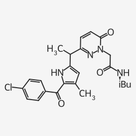 CC[C@H](C)NC(=O)Cn1nc(C(C)c2cc(C)c(C(=O)c3ccc(Cl)cc3)[nH]2)ccc1=O